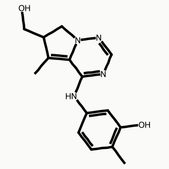 CC1=C2C(Nc3ccc(C)c(O)c3)=NC=NN2CC1CO